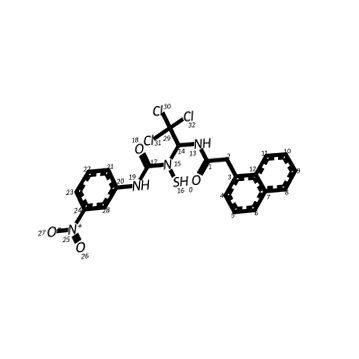 O=C(Cc1cccc2ccccc12)NC(N(S)C(=O)Nc1cccc([N+](=O)[O-])c1)C(Cl)(Cl)Cl